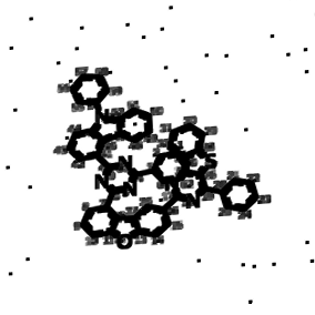 c1ccc(-c2nc(-c3cccc4oc5ccc(-c6nc(-c7ccccc7)c7sc8ccccc8c7n6)cc5c34)nc(-c3cccc4c3c3ccccc3n4-c3ccccc3)n2)cc1